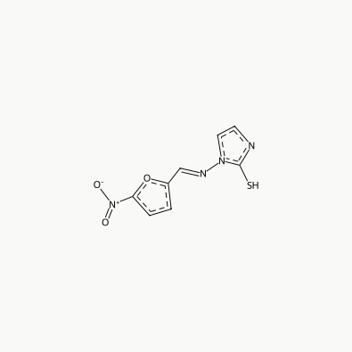 O=[N+]([O-])c1ccc(C=Nn2ccnc2S)o1